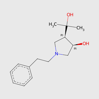 CC(C)(O)[C@@H]1CN(CCc2ccccc2)C[C@@H]1O